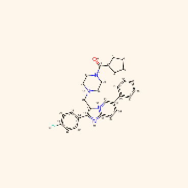 O=C(C1CCCC1)N1CCN(Cc2c(-c3ccc(F)cc3)nc3ccc(-c4ccccc4)cn23)CC1